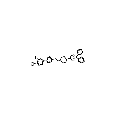 Fc1cc(-c2ccc(CCC3CCC(C4CC[Si](c5ccccc5)(c5ccccc5)CC4)CC3)cc2)ccc1Cl